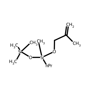 C=C(C)CO[Si](C)(CCC)O[Si](C)(C)C